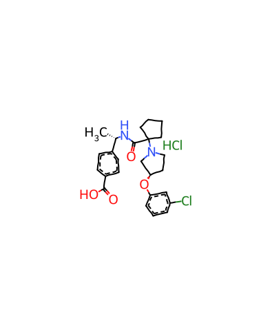 C[C@H](NC(=O)C1(N2CC[C@@H](Oc3cccc(Cl)c3)C2)CCCC1)c1ccc(C(=O)O)cc1.Cl